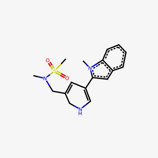 CN(CC1=CC(c2cc3ccccc3n2C)=CNC1)S(C)(=O)=O